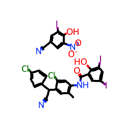 Cc1cc(C(C#N)c2ccc(Cl)cc2)c(Cl)cc1NC(=O)c1cc(I)cc(I)c1O.N#Cc1cc(I)c(O)c([N+](=O)[O-])c1